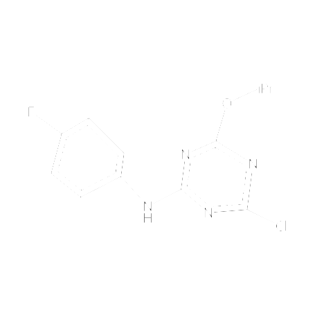 CC(C)Oc1nc(Cl)nc(Nc2ccc(F)cc2)n1